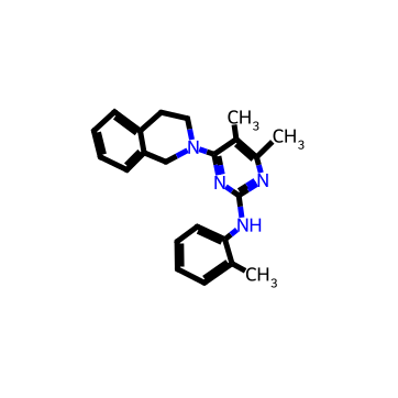 Cc1ccccc1Nc1nc(C)c(C)c(N2CCc3ccccc3C2)n1